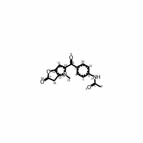 CC(=O)Nc1ccc(C(=O)c2cc3c(n2C)CC(=O)O3)cc1